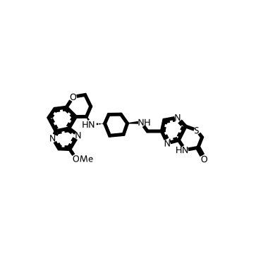 COc1cnc2ccc3c(c2n1)[C@@H](N[C@H]1CC[C@H](NCc2cnc4c(n2)NC(=O)CS4)CC1)CCO3